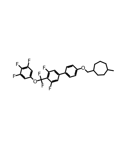 CC1CCCC(COc2ccc(-c3cc(F)c(C(F)(F)Oc4cc(F)c(F)c(F)c4)c(F)c3)cc2)CC1